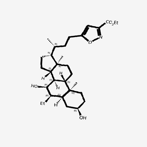 CCOC(=O)c1cc(CC[C@@H](C)[C@H]2CC[C@H]3[C@@H]4[C@H](O)[C@H](CC)[C@@H]5C[C@H](O)CC[C@]5(C)[C@H]4CC[C@]23C)on1